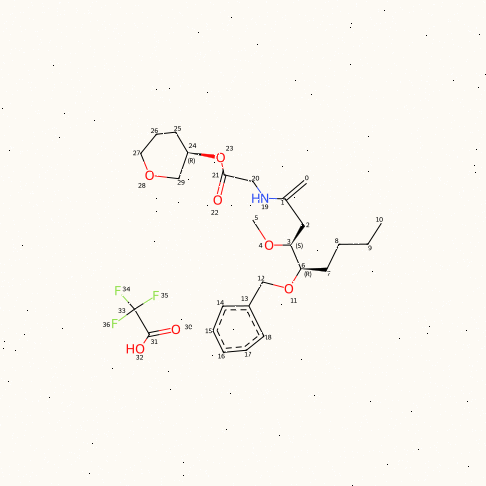 C=C(C[C@H](OC)[C@@H](CCCC)OCc1ccccc1)NCC(=O)O[C@@H]1CCCOC1.O=C(O)C(F)(F)F